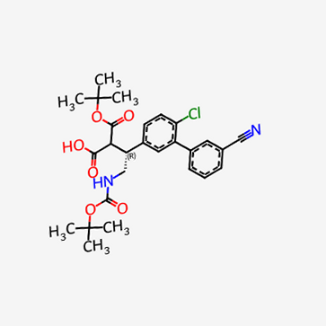 CC(C)(C)OC(=O)NC[C@@H](c1ccc(Cl)c(-c2cccc(C#N)c2)c1)C(C(=O)O)C(=O)OC(C)(C)C